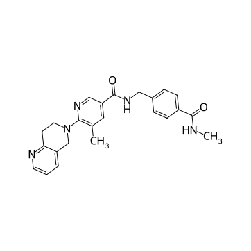 CNC(=O)c1ccc(CNC(=O)c2cnc(N3CCc4ncccc4C3)c(C)c2)cc1